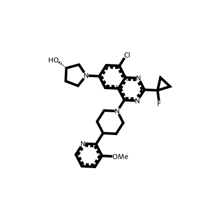 COc1cccnc1C1CCN(c2nc(C3(F)CC3)nc3c(Cl)cc(N4CC[C@H](O)C4)cc23)CC1